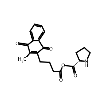 CC1=C(CCCC(=O)OC(=O)[C@@H]2CCCN2)C(=O)c2ccccc2C1=O